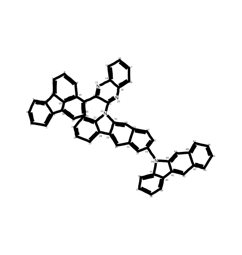 c1ccc2c(c1)-c1cccc3c(-c4nc5ccccc5nc4-n4c5ccccc5c5cc6cc(-n7c8ccccc8c8cc9ccccc9cc87)ccc6cc54)ccc-2c13